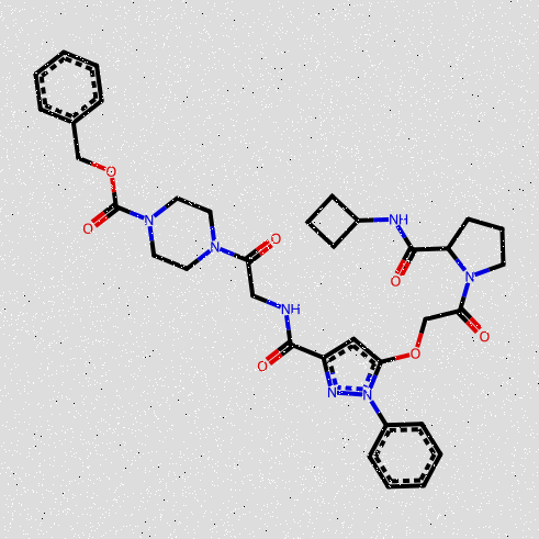 O=C(NCC(=O)N1CCN(C(=O)OCc2ccccc2)CC1)c1cc(OCC(=O)N2CCCC2C(=O)NC2CCC2)n(-c2ccccc2)n1